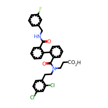 O=C(O)CCN(CCc1ccc(Cl)cc1Cl)C(=O)c1ccccc1-c1ccccc1C(=O)NCc1cccc(F)c1